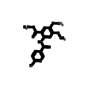 COC(=O)c1cc(OC)c(OC)cc1NC(=O)c1ccc(Cl)nc1